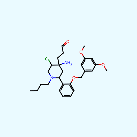 CCCCN1CC(Cl)C(N)(CCC=O)CC1c1ccccc1OCc1cc(OC)cc(OC)c1